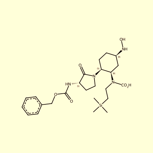 C[Si](C)(C)CCN(C(=O)O)[C@@H]1C[C@H](NO)CC[C@@H]1N1CC[C@H](NC(=O)OCc2ccccc2)C1=O